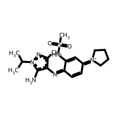 Cc1nn(C(C)C)c(N)c1/N=C1/C=CC(=[N+]2CCCC2)C=C1NS(C)(=O)=O